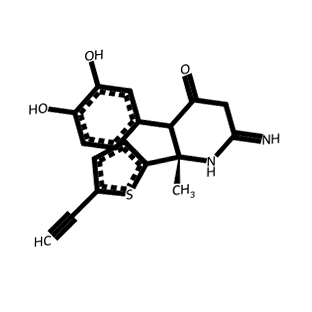 C#Cc1ccc([C@@]2(C)NC(=N)CC(=O)C2c2ccc(O)c(O)c2)s1